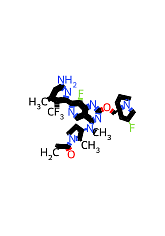 C=CC(=O)N1CC[C@@H](N(C)c2nc(OC[C@@]34CCCN3C[C@H](F)C4)nc3c(F)c(-c4nc(N)cc(C)c4C(F)(F)F)ncc23)[C@H]1C